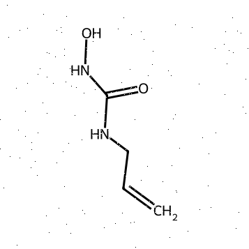 C=CCNC(=O)NO